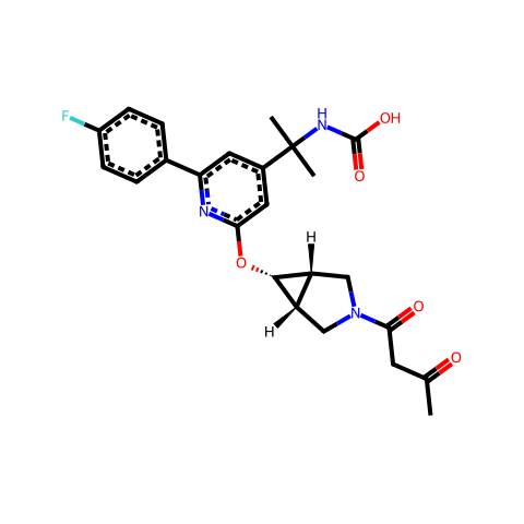 CC(=O)CC(=O)N1C[C@@H]2[C@H](C1)[C@@H]2Oc1cc(C(C)(C)NC(=O)O)cc(-c2ccc(F)cc2)n1